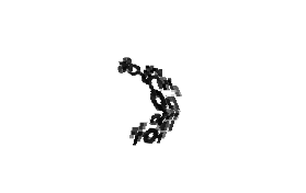 CS(=O)(=O)N1CCC(c2cc(-c3ccc(NC(=O)Nc4cc(C(F)(F)F)ccc4F)c(Cl)c3)c3c(N)ncnn23)CC1